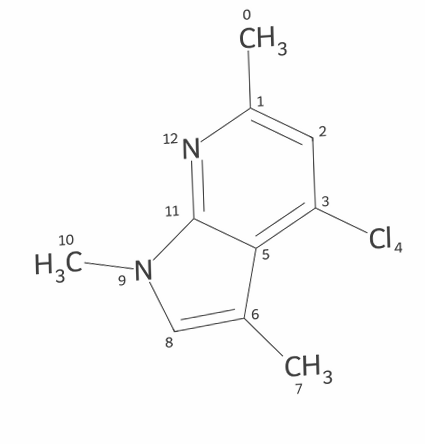 Cc1cc(Cl)c2c(C)cn(C)c2n1